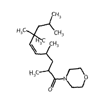 CC(C)CC(C)(C)/C=C\C(C)CC(C)C(=O)N1CCOCC1